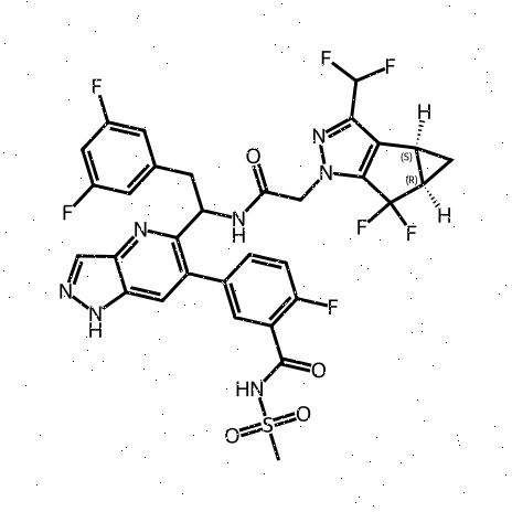 CS(=O)(=O)NC(=O)c1cc(-c2cc3[nH]ncc3nc2C(Cc2cc(F)cc(F)c2)NC(=O)Cn2nc(C(F)F)c3c2C(F)(F)[C@@H]2C[C@H]32)ccc1F